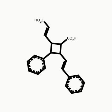 O=C(O)/C=C/C1C(C(=O)O)C(/C=C/c2ccccc2)C1c1ccccc1